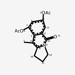 CC(=O)Oc1cc(OC(C)=O)c2c(C)c3n(c(=O)c2c1)CCC3